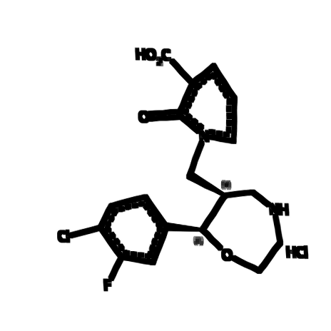 Cl.O=C(O)c1cccn(C[C@H]2CNCCO[C@H]2c2ccc(Cl)c(F)c2)c1=O